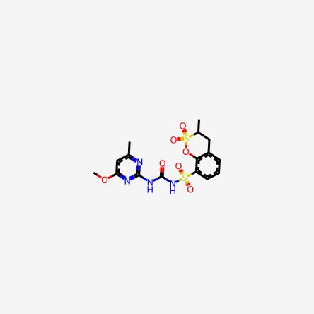 COc1cc(C)nc(NC(=O)NS(=O)(=O)c2cccc3c2OS(=O)(=O)C(C)C3)n1